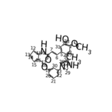 COc1ccc(/C=C/C(=O)Nc2ccccc2COc2cccc(N3C=C(C)NC3)c2)cc1O